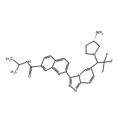 CC(C)NC(=O)c1ccc2ccc(-c3nnc4ccc(C(N5CC[C@H](N)C5)C(F)(F)F)cn34)nc2c1